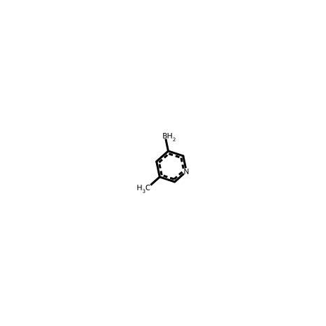 Bc1cncc(C)c1